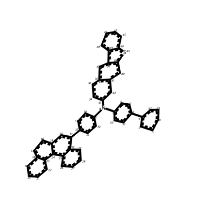 c1ccc(-c2ccc(N(c3ccc(-c4cc5ccc6ccccc6c5c5ccccc45)cc3)c3ccc4cc5c(cc4c3)sc3ccccc35)cc2)cc1